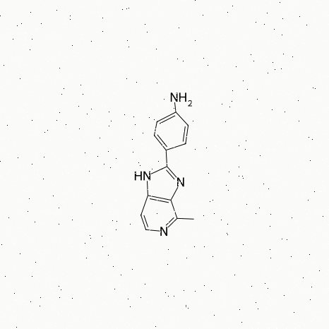 Cc1nccc2[nH]c(-c3ccc(N)cc3)nc12